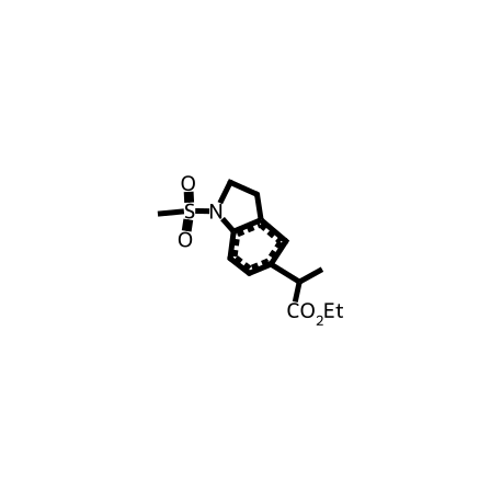 CCOC(=O)C(C)c1ccc2c(c1)CCN2S(C)(=O)=O